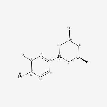 Cc1cc(N2C[C@H](C)C[C@H](C)C2)ccc1C(C)C